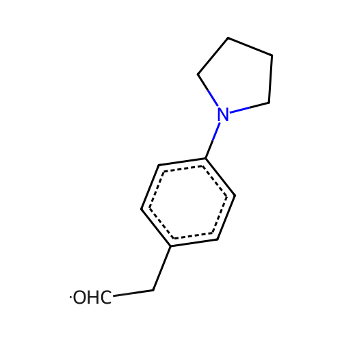 O=[C]Cc1ccc(N2CCCC2)cc1